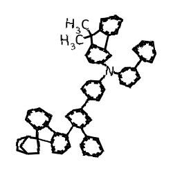 CC1(C)c2ccccc2-c2cc(N(c3ccc(-c4ccc(-c5cccc6c5-c5ccccc5C65CC6CCC5C6)c(-c5ccccc5)c4)cc3)c3cccc(-c4ccccc4)c3)ccc21